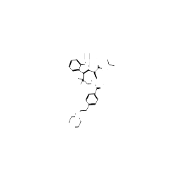 CC(C)OC(=O)C1=CN(C(=O)c2ccc(CCN3CCOCC3)cc2)CC(C)(C)c2c1[nH]c1ccccc21